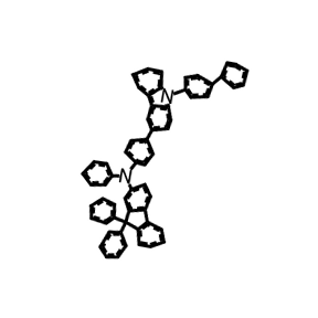 c1ccc(-c2ccc(-n3c4ccccc4c4cc(-c5ccc(N(c6ccccc6)c6ccc7c(c6)C(c6ccccc6)(c6ccccc6)c6ccccc6-7)cc5)ccc43)cc2)cc1